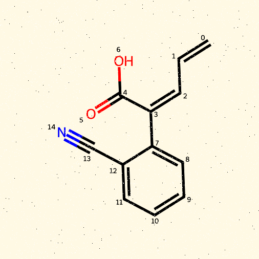 C=CC=C(C(=O)O)c1ccccc1C#N